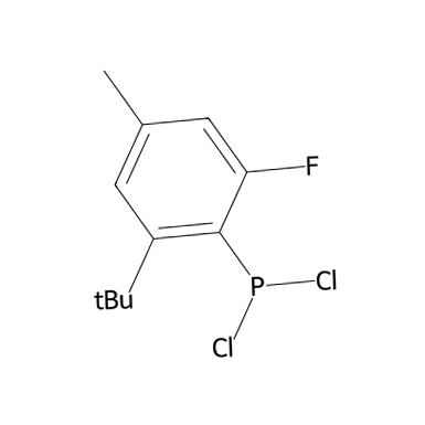 Cc1cc(F)c(P(Cl)Cl)c(C(C)(C)C)c1